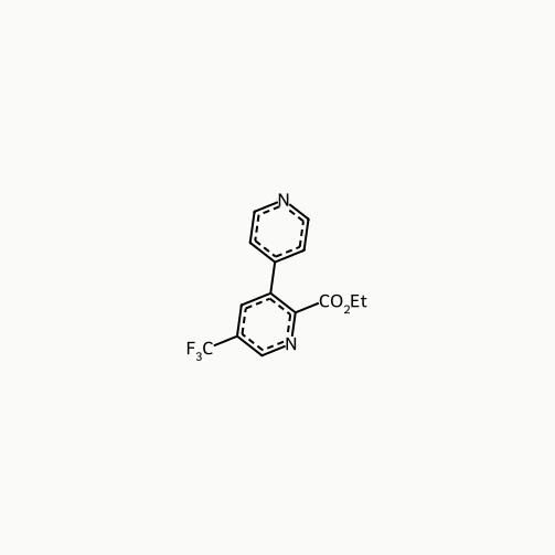 CCOC(=O)c1ncc(C(F)(F)F)cc1-c1ccncc1